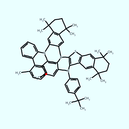 Cc1cc2c3c(c1)N(c1ccc(C(C)(C)C)cc1)c1c(sc4cc5c(cc14)C(C)(C)CCC5(C)C)B3c1cc3c(cc1N2c1ccccc1-c1ccccc1C)C(C)(C)CCC3(C)C